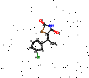 CC(=C1SC(=O)NC1=O)c1cccc(Br)c1